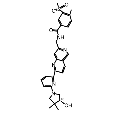 Cc1ccc(C(=O)NCc2cc3nc(-c4cccc(N5C[C@@H](O)C(C)(C)C5)n4)ccc3cn2)cc1S(C)(=O)=O